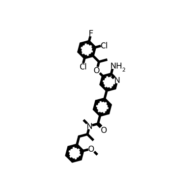 COc1ccccc1CC(C)N(C)C(=O)c1ccc(-c2cnc(N)c(OC(C)c3c(Cl)ccc(F)c3Cl)c2)cc1